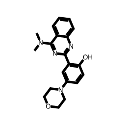 CN(C)c1nc(-c2cc(N3CCOCC3)ccc2O)nc2ccccc12